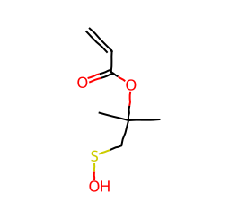 C=CC(=O)OC(C)(C)CSO